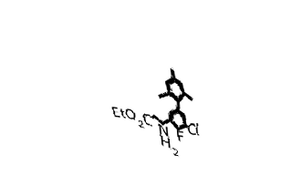 CCOC(=O)C[C@H](N)c1cc(-c2c(C)cc(C)cc2C)cc(Cl)c1F